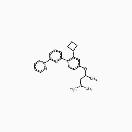 CC(CN(C)C)Oc1ccc(-c2cccc(-c3ccccn3)n2)c(C2CCC2)c1